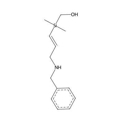 C[Si](C)(C=CCNCc1ccccc1)CO